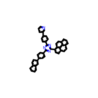 c1cncc(-c2ccc(-c3nc(-c4ccc(-c5ccc6ccccc6c5)cc4)nc(-c4ccc5ccc6cccc7ccc4c5c67)n3)cc2)c1